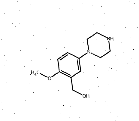 COc1ccc(N2CCNCC2)cc1CO